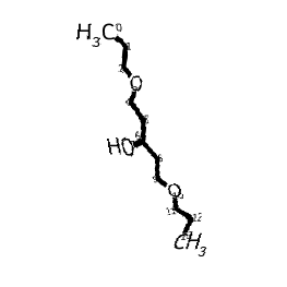 CCCOCCC(O)CCOCCC